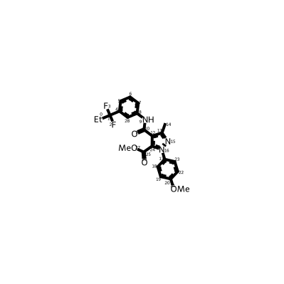 CCC(F)(F)c1cccc(NC(=O)c2c(C)nn(-c3ccc(OC)cc3)c2C(=O)OC)c1